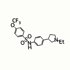 CCN1CCC(c2ccc(NS(=O)(=O)c3ccc(OC(F)(F)F)cc3)cc2)C1